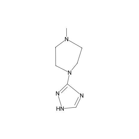 CN1CCN(c2nc[nH]n2)CC1